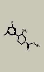 CC(C)(C)OC(=O)N1CCC(c2cc(F)cc(F)c2)C(N)C1